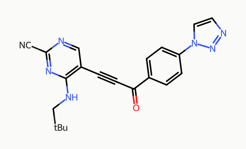 CC(C)(C)CNc1nc(C#N)ncc1C#CC(=O)c1ccc(-n2ccnn2)cc1